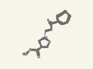 CC(C)(C)OC(=O)C1CS[C@@H](CSC(=O)c2ccccc2)C1